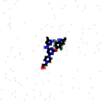 Cc1cc(Nc2cc(N3CCN(CCO)CC3)nc(Oc3cc(F)c4[nH]c(C)cc4c3F)n2)n[nH]1